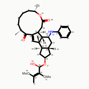 CC[C@H]1CCCC[C@@H](C)C(=O)C2=C[C@]3(C)[C@@H]([C@@H](Nc4ccccc4)C[C@@H]4C[C@@H](O[C@H](O)/C(OC)=C(/C)OC)C[C@H]43)[C@@H]2CC(=O)O1